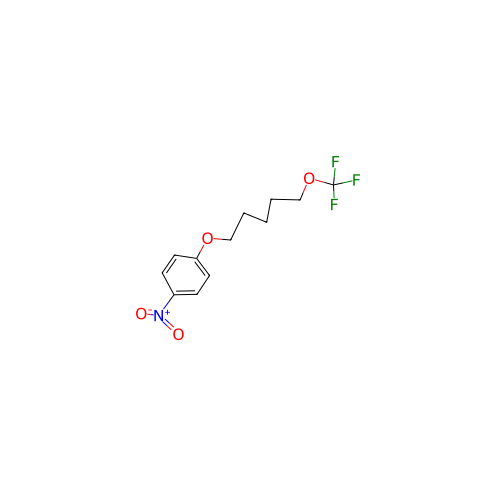 O=[N+]([O-])c1ccc(OCCCCCOC(F)(F)F)cc1